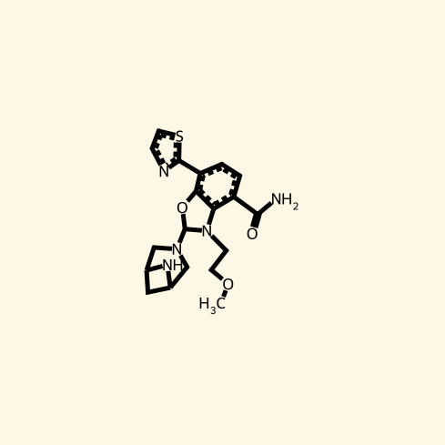 COCCN1c2c(C(N)=O)ccc(-c3nccs3)c2OC1N1CC2CC(C1)N2